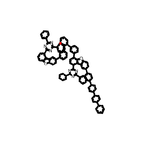 c1ccc(-c2ccc(-c3ccc(-c4ccc(-c5ccc6oc7c(-c8cccc(-c9ccccc9-c9cccc(-c%10ccc%11oc%12cccc(-c%13nc(-c%14ccccc%14)nc(-c%14ccccc%14)n%13)c%12c%11c%10)c9)c8)ccc(-c8nc(-c9ccccc9)nc(-c9ccccc9)n8)c7c6c5)cc4)cc3)cc2)cc1